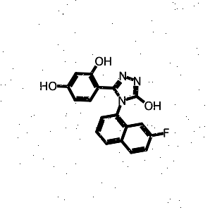 Oc1ccc(-c2nnc(O)n2-c2cccc3ccc(F)cc23)c(O)c1